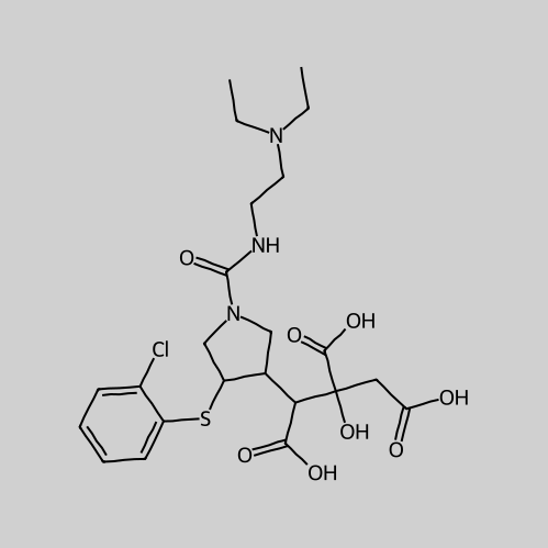 CCN(CC)CCNC(=O)N1CC(Sc2ccccc2Cl)C(C(C(=O)O)C(O)(CC(=O)O)C(=O)O)C1